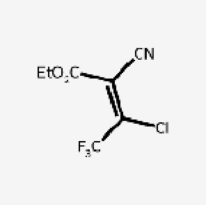 CCOC(=O)/C(C#N)=C(/Cl)C(F)(F)F